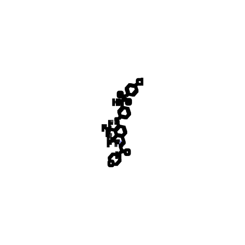 O=C(/C=C/c1ccc(Sc2cccc(NS(=O)(=O)c3ccc(Cl)cc3)c2)c(C(F)(F)F)c1C(F)(F)F)N1CCOCC1